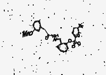 COc1cccc(CC(=O)NN=Cc2ccccc2OS(=O)(=O)c2ccc(Br)s2)c1